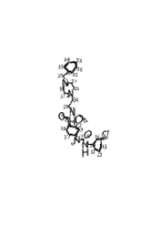 COc1cc(N(C)C(=O)Nc2cccc(Cl)c2)ccc1C(=O)NCCN1CCN(Cc2ccccc2)CC1